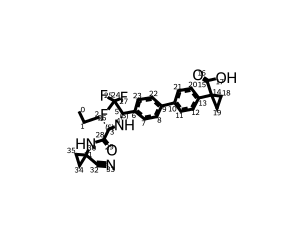 CCC[C@H](N[C@@H](c1ccc(-c2ccc(C3(C(=O)O)CC3)cc2)cc1)C(F)(F)F)C(=O)NC1(C#N)CC1